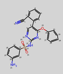 N#Cc1ccccc1-c1cnc(NS(=O)(=O)c2cccc(N)c2)nc1Oc1ccccc1